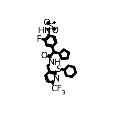 CS(=O)(=O)Nc1ccc(C(C(=O)NCc2ccc(C(F)(F)F)nc2SC2CCCCC2)C2CCCC2)cc1F